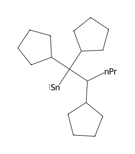 CCCC(C1CCCC1)[C]([Sn])(C1CCCC1)C1CCCC1